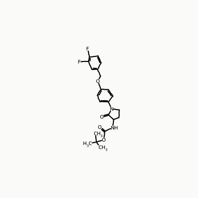 CC(C)(C)OC(=O)NC1CCN(c2ccc(OCc3ccc(F)c(F)c3)cc2)C1=O